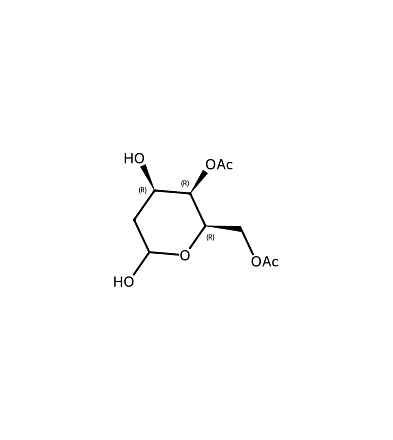 CC(=O)OC[C@H]1OC(O)C[C@@H](O)[C@H]1OC(C)=O